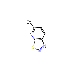 CCc1ccc2nnsc2n1